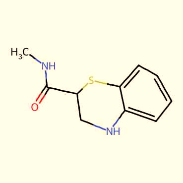 CNC(=O)C1CNc2ccccc2S1